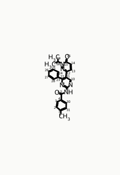 Cc1ccc(C(=O)Nc2ncc(-c3ccc(=O)n(C(C)C)n3)c(-c3ccccc3)n2)cc1